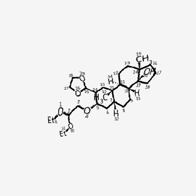 CCOC(CO[C@@H]1C[C@H]2CC[C@@H]3[C@H](CC[C@]4(C)CCC[C@]34O)[C@@]2(C)CC1C1OCCO1)OCC